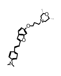 C[C@@H]1CN(CCCOc2ccc3cc(C=Cc4ccc(N(C)C)cc4)oc3c2)C[C@H](C)O1